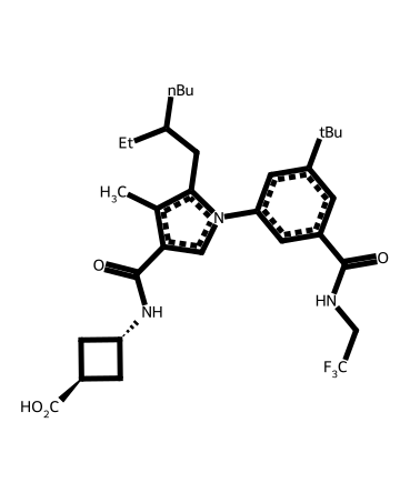 CCCCC(CC)Cc1c(C)c(C(=O)N[C@H]2C[C@H](C(=O)O)C2)cn1-c1cc(C(=O)NCC(F)(F)F)cc(C(C)(C)C)c1